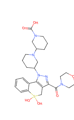 O=C(O)N1CCCC(N2CCCC(n3nc(C(=O)N4CCOCC4)c4c3-c3ccccc3S(O)(O)C4)C2)C1